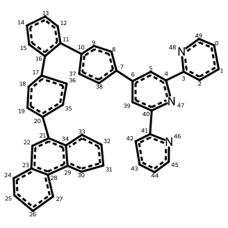 c1ccc(-c2cc(-c3ccc(-c4ccccc4-c4ccc(-c5cc6ccccc6c6ccccc56)cc4)cc3)cc(-c3ccccn3)n2)nc1